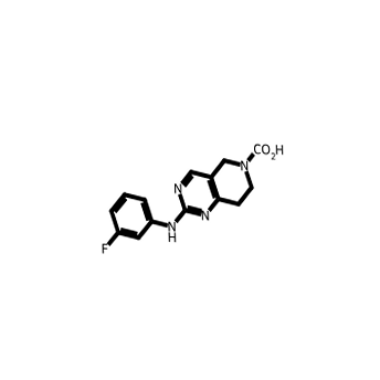 O=C(O)N1CCc2nc(Nc3cccc(F)c3)ncc2C1